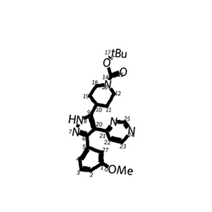 COc1cccc(-c2n[nH]c(C3CCN(C(=O)OC(C)(C)C)CC3)c2-c2ccncn2)c1